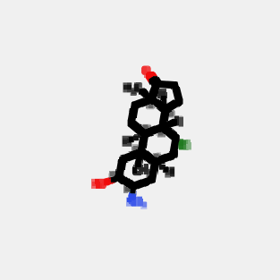 C[C@]12C[C@H](O)[C@H](N)C[C@@H]1CC[C@@H]1[C@@H]2CC[C@]2(C)C(=O)CC[C@@H]12.Cl